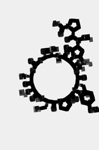 CC[C@H](C)[C@H]1NC(=O)[C@@H](N2C(=O)[C@@H](N(C)C(=O)[C@@H]3CCCN3C(=O)C(C)=O)CC2C)[C@@H](C)OC(=O)[C@H](Cc2ccc(OC)cc2)N(C)C(=O)[C@@H]2CCCN2C(=O)[C@H](CC(C)C)NC(=O)[C@@H](C)C(=O)[C@H](C(C)C)OC(=O)C[C@@H]1O